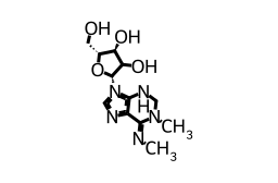 C/N=C1/c2ncn([C@@H]3O[C@H](CO)[C@@H](O)C3O)c2NCN1C